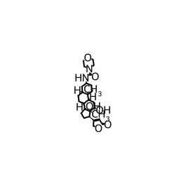 C[C@]12CC[C@H](NC(=O)N3CCOCC3)C[C@H]1CC[C@@H]1[C@@H]2C[C@@H](O)[C@]2(C)[C@@H](C3=CC(=O)OC3)CC[C@]12O